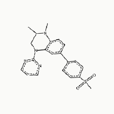 CC1CN(c2ncccn2)c2cc(-c3ccc(S(C)(=O)=O)cc3)ccc2N1C